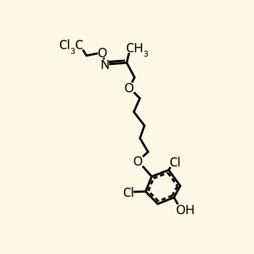 CC(COCCCCCOc1c(Cl)cc(O)cc1Cl)=NOCC(Cl)(Cl)Cl